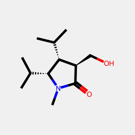 CC(C)[C@H]1[C@@H](C(C)C)N(C)C(=O)[C@@H]1CO